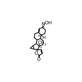 C[C@]12CCC3C(CCC4=C/C(=N/O)CC[C@@H]43)C1C1CC1[C@@]21C=CC(=O)O1